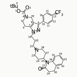 CC(C)(C)OC(=O)N1CCc2c(c(-c3ccc(C(F)(F)F)cc3)nn2CCCN2CCC(N3C(=O)CCc4ccccc43)CC2)C1